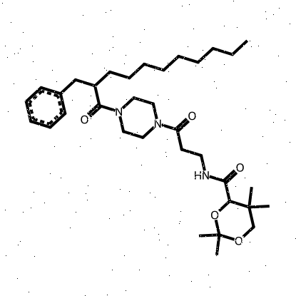 CCCCCCCCCC(Cc1ccccc1)C(=O)N1CCN(C(=O)CCNC(=O)C2OC(C)(C)OCC2(C)C)CC1